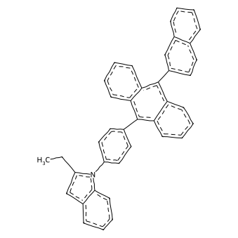 CCc1cc2ccccc2n1-c1ccc(-c2c3ccccc3c(-c3ccc4ccccc4c3)c3ccccc23)cc1